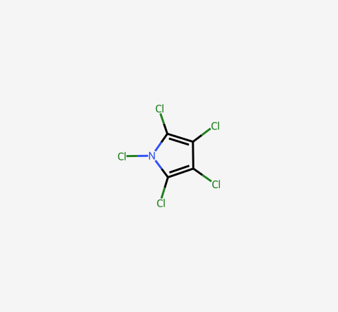 Clc1c(Cl)c(Cl)n(Cl)c1Cl